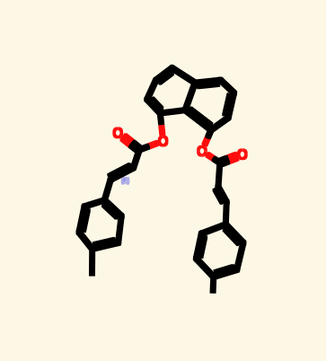 Cc1ccc(C=CC(=O)Oc2cccc3cccc(OC(=O)/C=C/c4ccc(C)cc4)c23)cc1